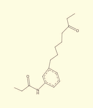 CCC(=O)CCCCCc1cccc(NC(=O)CC)c1